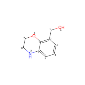 OCc1cccc2c1OCCN2